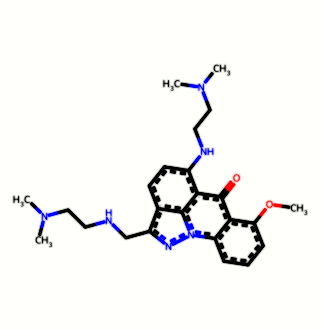 COc1cccc2c1c(=O)c1c(NCCN(C)C)ccc3c(CNCCN(C)C)nn2c31